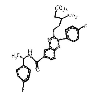 CC(CCc1nc2cc(C(=O)N[C@H](C)c3ccc(F)cc3)ccc2nc1-c1ccc(F)cc1)CC(=O)O